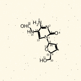 Nc1nc(=O)n([C@H]2C=C[C@@H](CO)O2)cc1NC=O